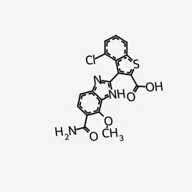 COc1c(C(N)=O)ccc2nc(-c3c(C(=O)O)sc4cccc(Cl)c34)[nH]c12